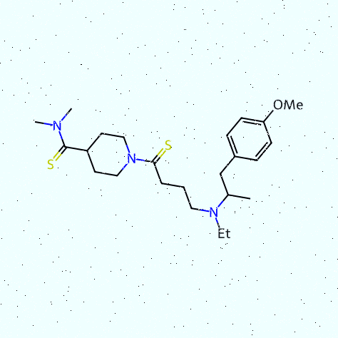 CCN(CCCC(=S)N1CCC(C(=S)N(C)C)CC1)C(C)Cc1ccc(OC)cc1